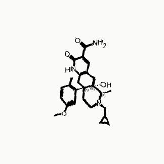 COc1ccc(C)c([C@]23CCN(CC4CC4)[C@H](C)[C@]2(O)Cc2cc(C(N)=O)c(=O)[nH]c2C3)c1